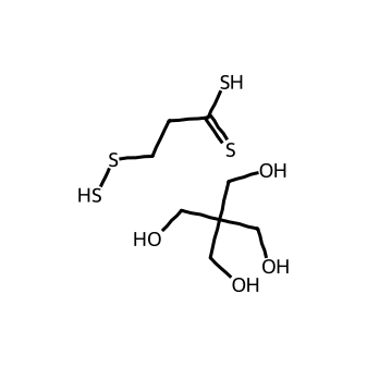 OCC(CO)(CO)CO.S=C(S)CCSS